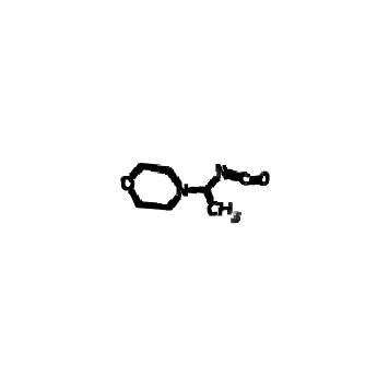 CC(N=C=O)N1CCOCC1